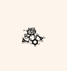 C[C@H](N)C(=O)C1(N)C(=O)N(CC2CC2)c2ccccc2N(CC2CC2)C1=O.Cl